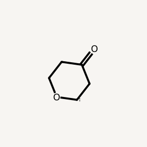 O=C1C[C]OCC1